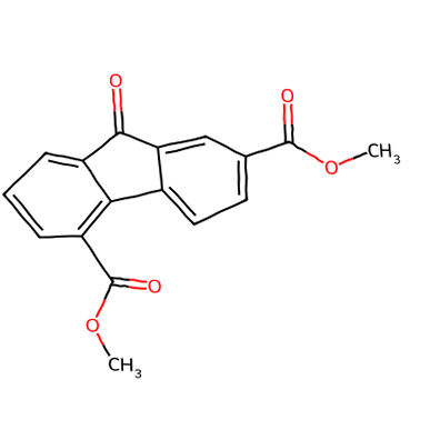 COC(=O)c1ccc2c(c1)C(=O)c1cccc(C(=O)OC)c1-2